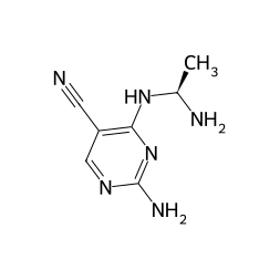 C[C@@H](N)Nc1nc(N)ncc1C#N